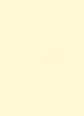 CCC(F)(F)OCc1ccccc1